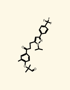 Cc1cc(C(=O)CCc2cc(-c3ccc(C(F)(F)F)cc3)nn2C(C)C)ccc1OC(C)(C)C=O